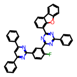 Fc1ccc(-c2nc(-c3ccccc3)cc(-c3ccccc3)n2)cc1-c1nc(-c2ccccc2)nc(-c2cccc3c2oc2ccccc23)n1